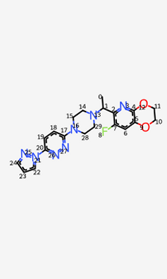 CC(c1nc2c(cc1F)OCCO2)N1CCN(c2ccc(-n3cccn3)nn2)CC1